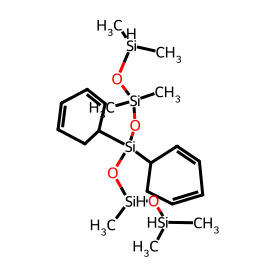 C[SiH](C)O[SiH](C)O[Si](O[Si](C)(C)O[SiH](C)C)(C1C=CC=CC1)C1C=CC=CC1